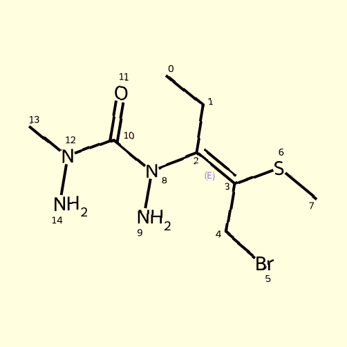 CC/C(=C(/CBr)SC)N(N)C(=O)N(C)N